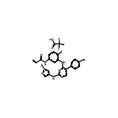 C=CC(=O)Nc1ccc(F)c(Nc2nc(Nc3cnn(C)c3)ncc2-c2ccc(Br)cc2)c1.O=C(O)C(F)(F)F